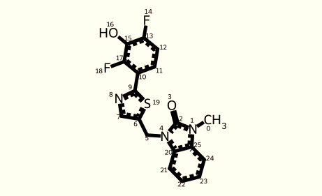 Cn1c(=O)n(Cc2cnc(-c3ccc(F)c(O)c3F)s2)c2ccccc21